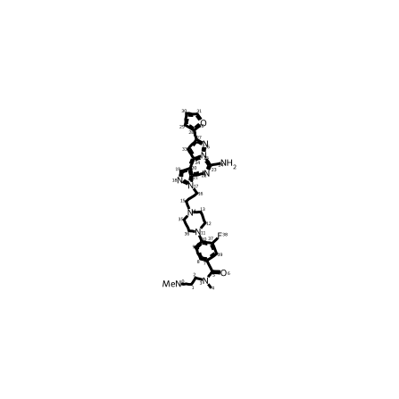 CNCCN(C)C(=O)c1ccc(N2CCN(CCn3ncc4c3nc(N)n3nc(-c5ccco5)cc43)CC2)c(F)c1